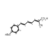 CCCCc1ccc(/C=C/C=C/C=C(\C#N)C(=O)O)cc1